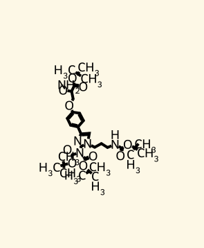 CC(C)(C)OC(=O)NCCCn1cc(-c2ccc(OCC(ON)C(=O)OC(C)(C)C)cc2)nc1N(C(=O)OC(C)(C)C)C(=O)OC(C)(C)C